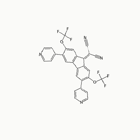 N#CC(C#N)=C1c2cc(OC(F)(F)F)c(-c3ccncc3)cc2-c2cc(-c3ccncc3)c(OC(F)(F)F)cc21